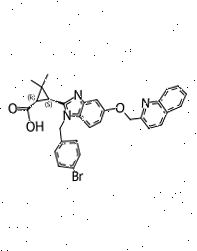 CC1(C)[C@H](C(=O)O)[C@@H]1c1nc2cc(OCc3ccc4ccccc4n3)ccc2n1Cc1ccc(Br)cc1